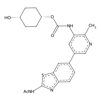 CC(=O)Nc1nc2ccc(-c3cnc(C)c(NC(=O)O[C@H]4CC[C@@H](O)CC4)c3)cc2s1